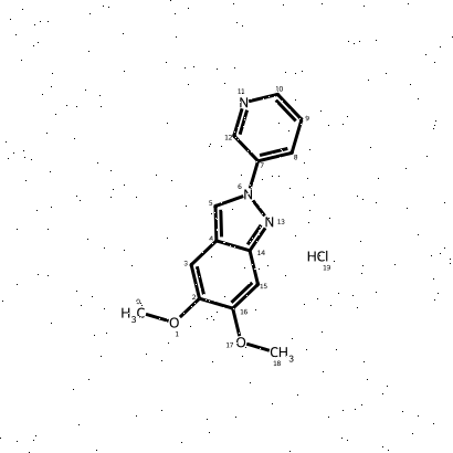 COc1cc2cn(-c3cccnc3)nc2cc1OC.Cl